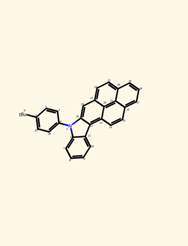 CC(C)(C)c1ccc(-n2c3ccccc3c3c4ccc5cccc6ccc(cc32)c4c65)cc1